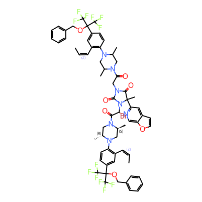 C/C=C\c1cc(C(OCc2ccccc2)(C(F)(F)F)C(F)(F)F)ccc1N1CC(C)N(C(=O)CN2C(=O)N(C(Br)C(=O)N3C[C@@H](C)N(c4ccc(C(OCc5ccccc5)(C(F)(F)F)C(F)(F)F)cc4/C=C\C)C[C@@H]3C)C(C)(c3cc4ccoc4cn3)C2=O)CC1C